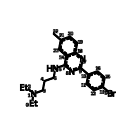 CCN(CC)CCCNc1nc(-c2ccc(Br)cc2)nc2ccc(C)cc12